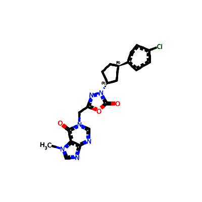 Cn1cnc2ncn(Cc3nn([C@@H]4CC[C@@H](c5ccc(Cl)cc5)C4)c(=O)o3)c(=O)c21